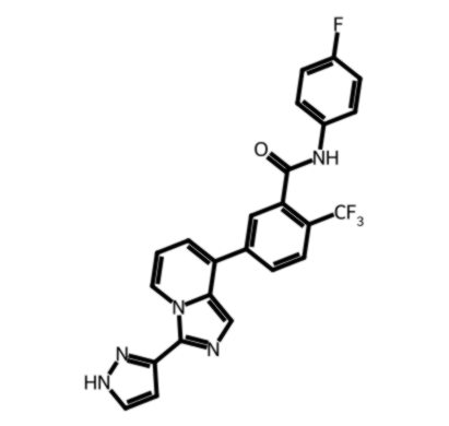 O=C(Nc1ccc(F)cc1)c1cc(-c2cccn3c(-c4cc[nH]n4)ncc23)ccc1C(F)(F)F